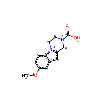 COc1ccc2c(c1)cc1n2CCN(C(=O)O)C1